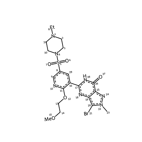 CCN1CCN(S(=O)(=O)c2cnc(OCCOC)c(-c3nc4c(Br)n(C)nc4c(=O)[nH]3)c2)CC1